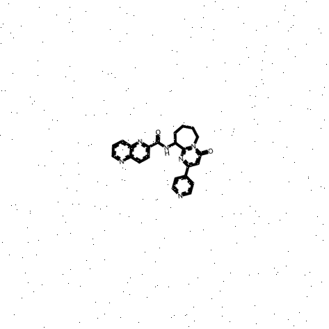 O=C(NC1CCCCn2c1nc(-c1ccncc1)cc2=O)c1ccc2ncccc2n1